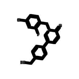 O=c1ccc(-c2ccc(CO)cc2)cn1Cc1ccc(Cl)cc1F